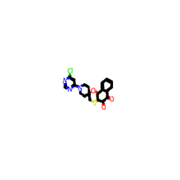 O=C1C(=O)c2ccccc2C2=C1SCC1(CCN(c3cc(Cl)ncn3)CC1)O2